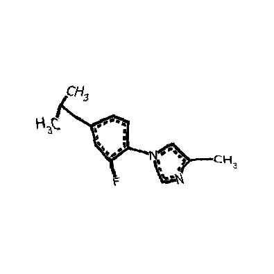 Cc1cn(-c2ccc(C(C)C)cc2F)cn1